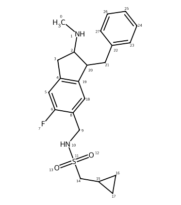 CNC1Cc2cc(F)c(CNS(=O)(=O)CC3CC3)cc2C1Cc1ccccc1